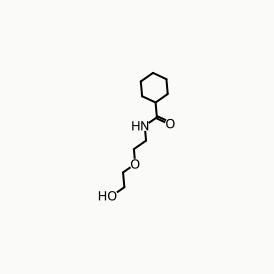 O=C(NCCOCCO)C1CCCCC1